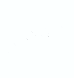 COC(=O)CNC(=O)[C@H](C)NC(=O)c1ccc(-c2ccc(F)cc2)nc1